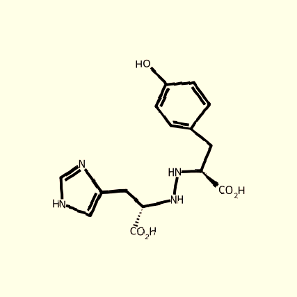 O=C(O)[C@H](Cc1ccc(O)cc1)NN[C@@H](Cc1c[nH]cn1)C(=O)O